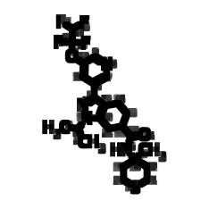 CC(C)n1nc(-c2cncc(OC(F)(F)C(F)F)c2)c2c1CC(C(=O)NC1(C)CCSCC1)CC2